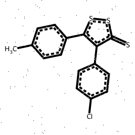 Cc1ccc(-c2ssc(=S)c2-c2ccc(Cl)cc2)cc1